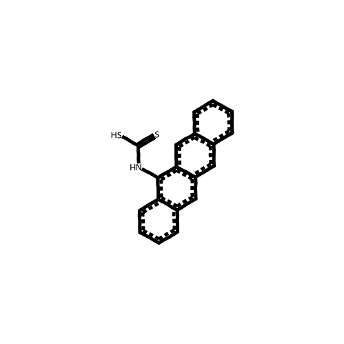 S=C(S)Nc1c2ccccc2cc2cc3ccccc3cc12